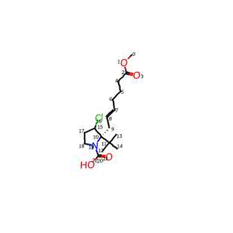 COC(=O)CCCC=CC[C@@]1(C(C)(C)C)C(Cl)CCN1C(=O)O